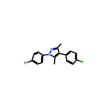 [CH2]Cc1ccc(-n2nc(C)c(-c3ccc(F)cc3)c2C)cc1